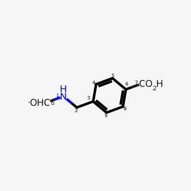 O=[C]NCc1ccc(C(=O)O)cc1